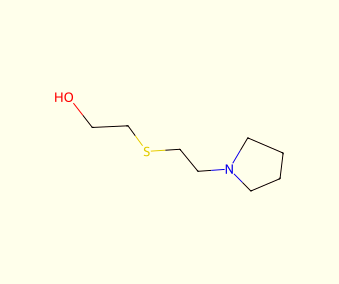 OCCSCCN1CCCC1